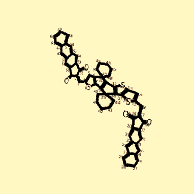 O=C1C(=Cc2cc3c(s2)C2=C(c4sc5cc(C=C6C(=O)c7cc8cc9ccccc9cc8cc7C6=O)sc5c4C24CCCCC4)C32CCCCC2)C(=O)c2cc3cc4ccccc4cc3cc21